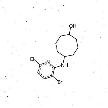 OC1CCCC(Nc2nc(Cl)ncc2Br)CCC1